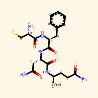 NC(=O)CC[C@H](NC(=O)[C@H](CC(N)=O)NC(=O)[C@H](Cc1ccccc1)NC(=O)[C@@H](N)CS)C(=O)O